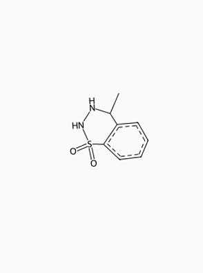 CC1NNS(=O)(=O)c2ccccc21